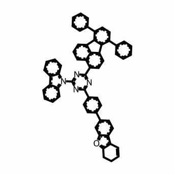 C1=Cc2c(oc3cc(-c4ccc(-c5nc(-c6ccc7c8c(cccc68)-c6c(-c8ccccc8)ccc(-c8ccccc8)c6-7)nc(-n6c7ccccc7c7ccccc76)n5)cc4)ccc23)CC1